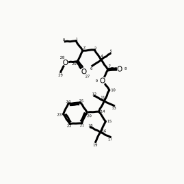 CCC(CC(C)(C)C(=O)OCC(C)(C)C(CC(C)(C)C)c1ccccc1)C(=O)OC